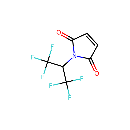 O=C1C=CC(=O)N1C(C(F)(F)F)C(F)(F)F